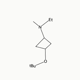 CCN(C)C1CC(OC(C)(C)C)C1